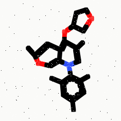 CC1=CC2=C(OC3CCOC3)C(C)=CN(c3c(C)cc(C)cc3C)C2=CO1